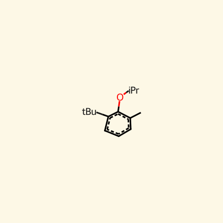 Cc1cccc(C(C)(C)C)c1OC(C)C